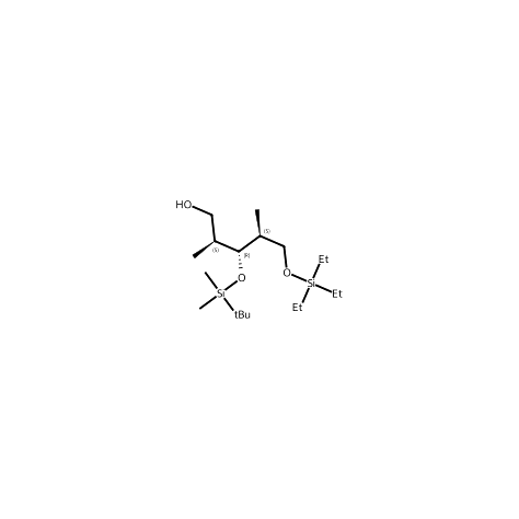 CC[Si](CC)(CC)OC[C@H](C)[C@H](O[Si](C)(C)C(C)(C)C)[C@@H](C)CO